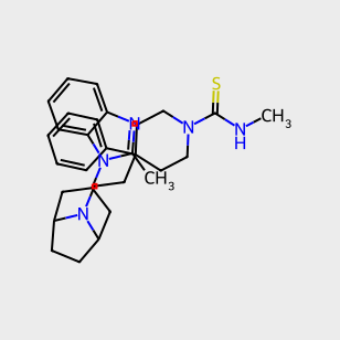 CNC(=S)N1CCC(CCN2C3CCC2CC(n2c(C)nc4ccccc42)C3)(c2ccccc2)CC1